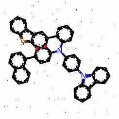 c1ccc(N(c2ccc(-c3cccc4ccccc34)cc2)c2ccc(-n3c4ccccc4c4ccccc43)cc2)c(-c2ccc3sc4ccccc4c3c2)c1